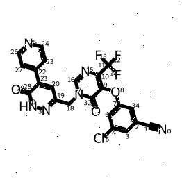 N#Cc1cc(Cl)cc(Oc2c(C(F)(F)F)ncn(Cc3cc(-c4ccncc4)c(=O)[nH]n3)c2=O)c1